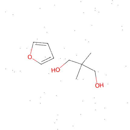 CC(C)(CO)CO.c1ccoc1